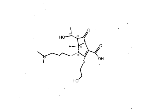 C[C@@H](O)[C@H]1C(=O)N2C(C(=O)O)=C(SCCO)[C@H](CCCCN(C)C)[C@H]12